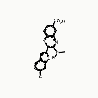 CC(C)N(C)c1nc2cc(C(=O)O)ccc2nc1-c1cc2ccc(Cl)cc2o1